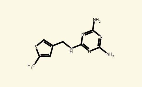 Cc1cc(CNc2nc(N)nc(N)n2)cs1